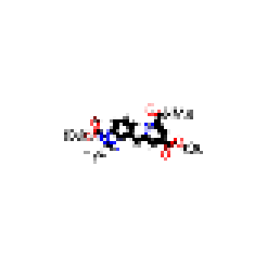 CNC(=O)c1cc(C(=O)OC(C)(C)C)cc(Cc2cccc3c2nc(C)n3C(=O)OC(C)(C)C)n1